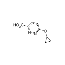 O=C(O)c1ccc(OC2CC2)nn1